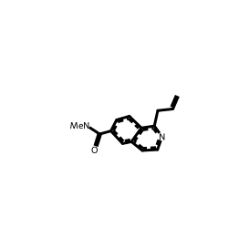 C=CCc1nccc2cc(C(=O)NC)ccc12